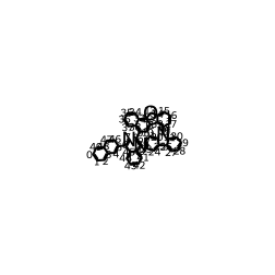 c1ccc2cc(-c3nc(-c4cc5c(oc6cccc(-n7c8ccccc8c8ccccc87)c65)c5ccccc45)nc4ccccc34)ccc2c1